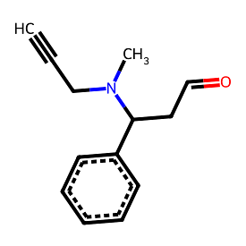 C#CCN(C)C(CC=O)c1ccccc1